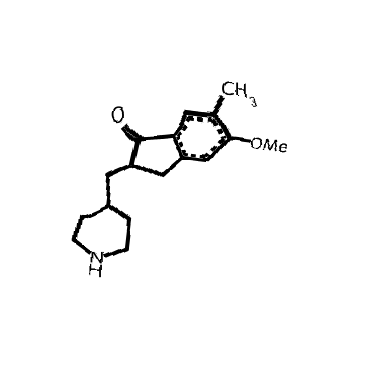 COc1cc2c(cc1C)C(=O)C(CC1CCNCC1)C2